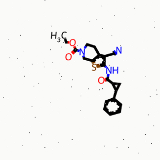 CCOC(=O)N1CCc2c(sc(NC(=O)C3CC3c3ccccc3)c2C#N)C1